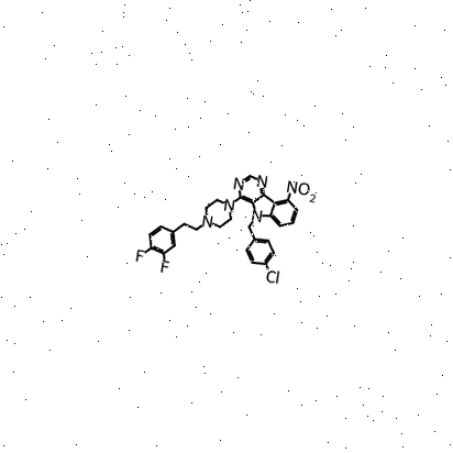 O=[N+]([O-])c1cccc2c1c1ncnc(N3CCN(CCc4ccc(F)c(F)c4)CC3)c1n2Cc1ccc(Cl)cc1